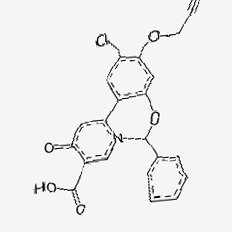 C#CCOc1cc2c(cc1Cl)-c1cc(=O)c(C(=O)O)cn1C(c1ccccc1)O2